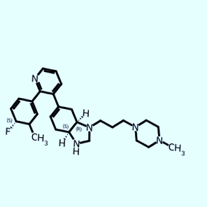 CC1C=C(c2ncccc2C2=CC[C@@H]3NCN(CCCN4CCN(C)CC4)[C@@H]3C2)C=C[C@H]1F